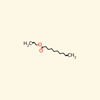 C=CCCCCCCCC(=O)OCC=C